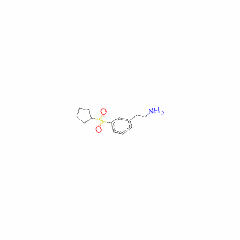 NCCc1cccc(S(=O)(=O)C2CCCC2)c1